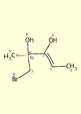 CC=C(O)[C@](C)(O)CBr